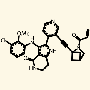 C=CC(=O)N1CC2CC1(C#Cc1cnccc1-c1[nH]c3c(c1Nc1cccc(Cl)c1OC)C(=O)NCC3)C2